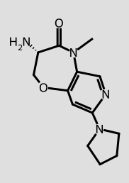 CN1C(=O)[C@@H](N)COc2cc(N3CCCC3)ncc21